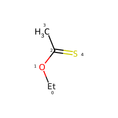 [CH2]COC(C)=S